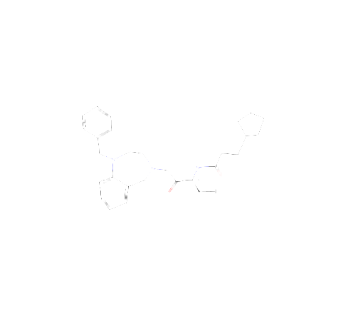 CC(C)C[C@H](NC(=O)CCC1CCCC1)C(=O)CN1CCN(Cc2ccccc2)c2ccccc2C1